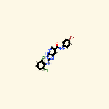 O=C(Nc1ccc(Br)cc1)c1cnc2[nH]c(Nc3c(Cl)cccc3Cl)nc2c1